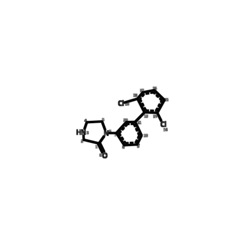 O=C1CNCCN1c1c[c]cc(-c2c(Cl)cccc2Cl)c1